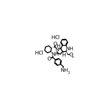 COC[C@@H]1Nc2ccccc2[C@H]2[C@H]1CCN2C(=O)[C@H]1CCCC[C@H]1NC(=O)c1ccc(CN)cc1.Cl.Cl